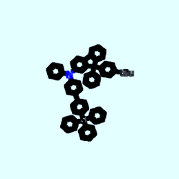 CC(C)(C)c1ccc(C2(c3ccccc3)c3ccccc3-c3ccc(N(c4ccccc4)c4ccc(-c5ccc([Si](c6ccccc6)(c6ccccc6)c6ccccc6)cc5)cc4)cc32)cc1